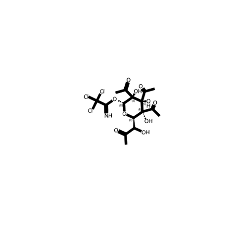 CC(=O)C(O)[C@H]1O[C@H](OC(=N)C(Cl)(Cl)Cl)[C@](O)(C(C)=O)[C@](O)(C(C)=O)[C@@]1(O)C(C)=O